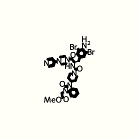 COC(=O)Cn1c(=O)n(C2CCN(C(=O)N[C@H](Cc3cc(Br)c(N)c(Br)c3)C(=O)N3CCN(c4ccncc4)CC3)CC2)c2ccccc21